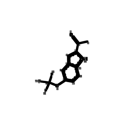 CC(=O)c1cc2cc(OC(F)(F)F)ccc2[nH]1